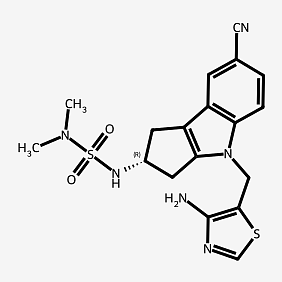 CN(C)S(=O)(=O)N[C@@H]1Cc2c(n(Cc3scnc3N)c3ccc(C#N)cc23)C1